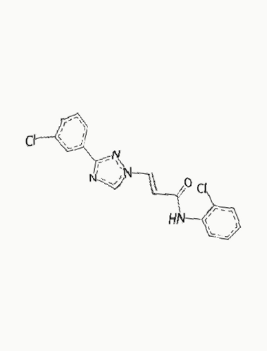 O=C(C=Cn1cnc(-c2cccc(Cl)c2)n1)Nc1ccccc1Cl